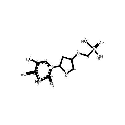 Cc1cn(C2CC(OCP(=O)(O)O)CO2)c(=O)[nH]c1=O